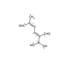 C/C(C=O)=C/C=C(\C=O)B(O)O